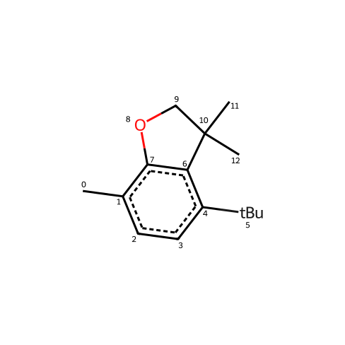 Cc1ccc(C(C)(C)C)c2c1OCC2(C)C